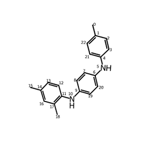 Cc1ccc(Nc2ccc(Nc3ccc(C)cc3C)cc2)cc1